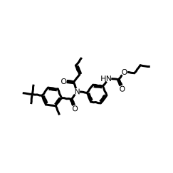 C/C=C/C(=O)N(C(=O)c1ccc(C(C)(C)C)cc1C)c1cccc(NC(=O)OCCC)c1